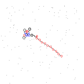 COCCOCCOCCOCCOCCOCCOCCOCCOCCOC(=O)/C=C/c1ccc(-c2nc3c(c(=O)n(CC4CCCCC4)c(=O)n3CC3CCCCC3)n2CC(=O)c2ccccc2)cc1